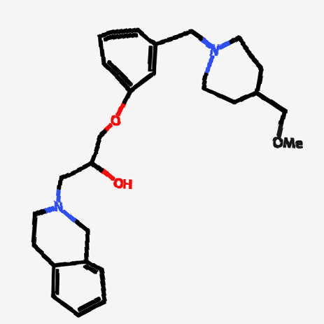 COCC1CCN(Cc2cccc(OCC(O)CN3CCc4ccccc4C3)c2)CC1